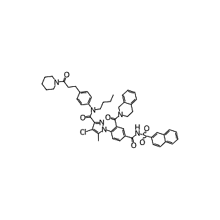 CCCCN(C(=O)c1nn(-c2ccc(C(=O)NS(=O)(=O)c3ccc4ccccc4c3)cc2C(=O)N2CCc3ccccc3C2)c(C)c1Cl)c1ccc(CCC(=O)N2CCCCC2)cc1